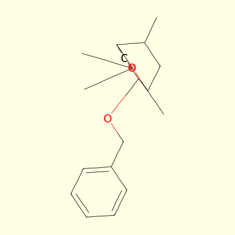 CC1CC2(C)OC(C)(C)C1CC2OCc1ccccc1